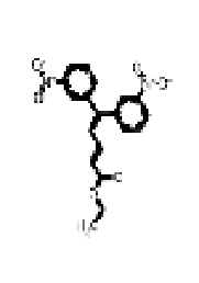 CCOC(=O)/C=C/C=C(c1cccc([N+](=O)[O-])c1)c1cccc([N+](=O)[O-])c1